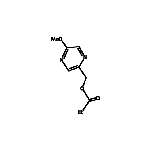 CCC(=O)OCc1cnc(OC)cn1